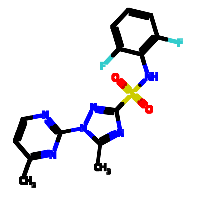 Cc1ccnc(-n2nc(S(=O)(=O)Nc3c(F)cccc3F)nc2C)n1